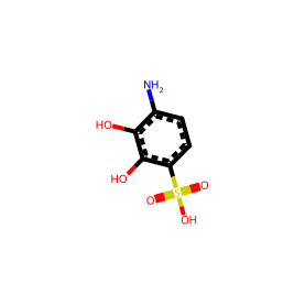 Nc1ccc(S(=O)(=O)O)c(O)c1O